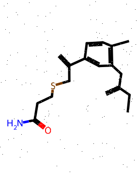 C=C(CC)Cc1cc(C(=C)CSCCC(N)=O)ccc1C